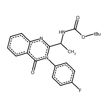 CC(NC(=O)OC(C)(C)C)c1nc2ccccc2c(=O)n1-c1ccc(F)cc1